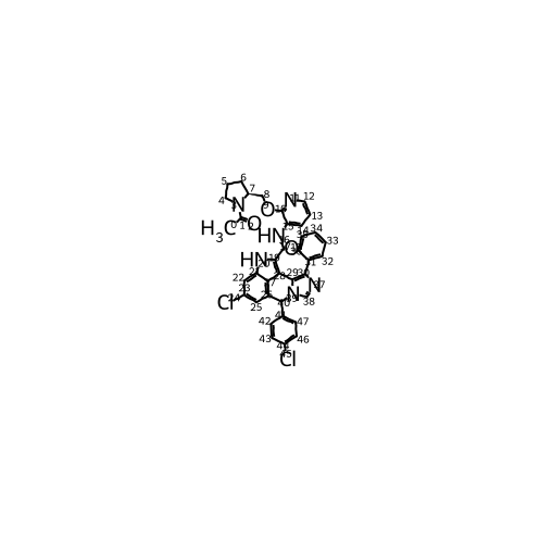 CC(=O)N1CCC[C@H]1COc1ncccc1NC(=O)c1[nH]c2cc(Cl)cc3c2c1-c1c(-c2ccccc2)ncn1C3c1ccc(Cl)cc1